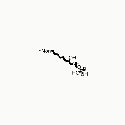 CCCCCCCCCCCCCC=C[C@@H](O)CNCOP(=O)(O)O